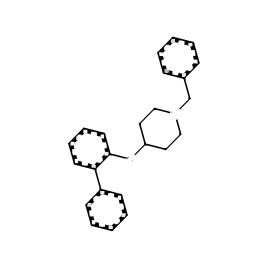 c1ccc(CN2CCC(Nc3ccccc3-c3ccccc3)CC2)cc1